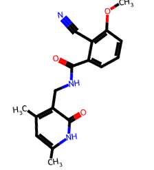 COc1cccc(C(=O)NCc2c(C)cc(C)[nH]c2=O)c1C#N